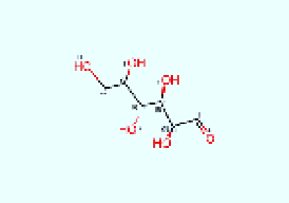 O=C[C@@H](O)[C@H](O)[C@H](O)C(O)CO